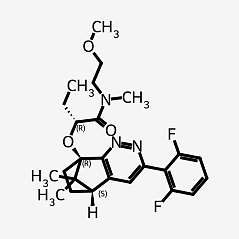 CC[C@@H](O[C@@]12CC[C@@H](c3cc(-c4c(F)cccc4F)nnc31)C2(C)C)C(=O)N(C)CCOC